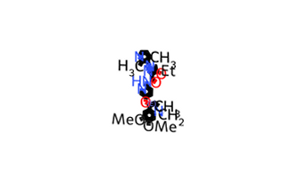 C=Nc1cc(OC)c(OC)cc1/C(=C\C)Oc1ccc(NC(=O)c2nn(-c3c(C)ccnc3C)cc2OCC)nc1